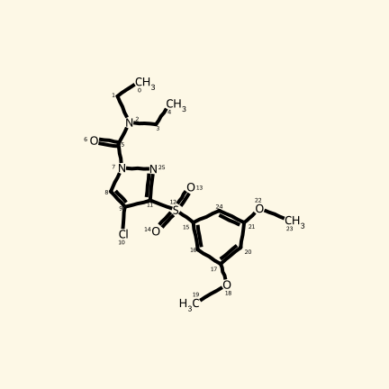 CCN(CC)C(=O)n1cc(Cl)c(S(=O)(=O)c2cc(OC)cc(OC)c2)n1